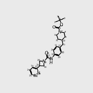 CC(C)(C)OC(=O)N1CCC(Cc2ccc(NC(=O)N3CC(c4cccnn4)C3)cc2)CC1